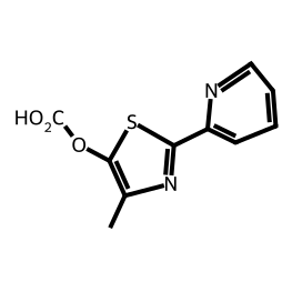 Cc1nc(-c2ccccn2)sc1OC(=O)O